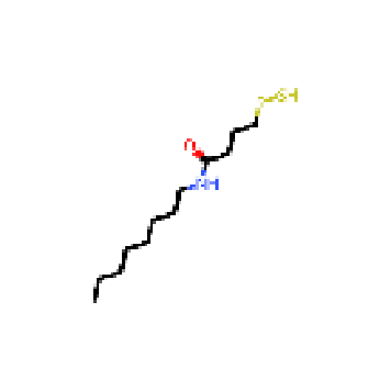 CCCCCCCCNC(=O)CCCSS